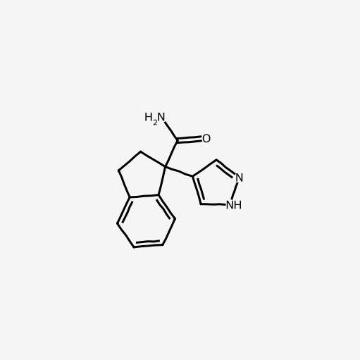 NC(=O)C1(c2cn[nH]c2)CCc2ccccc21